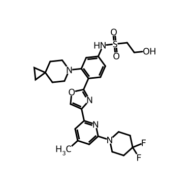 Cc1cc(-c2coc(-c3ccc(NS(=O)(=O)CCO)cc3N3CCC4(CC3)CC4)n2)nc(N2CCC(F)(F)CC2)c1